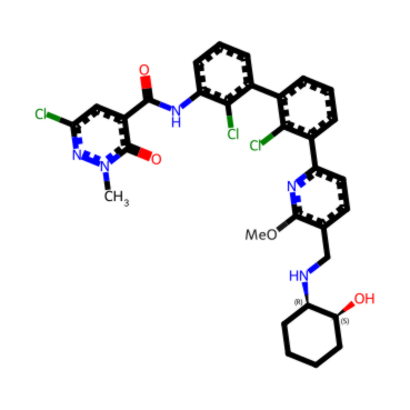 COc1nc(-c2cccc(-c3cccc(NC(=O)c4cc(Cl)nn(C)c4=O)c3Cl)c2Cl)ccc1CN[C@@H]1CCCC[C@@H]1O